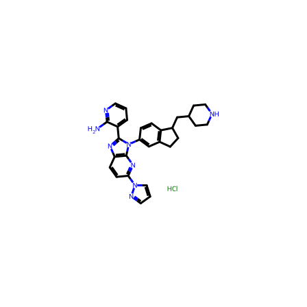 Cl.Nc1ncccc1-c1nc2ccc(-n3cccn3)nc2n1-c1ccc2c(c1)CCC2CC1CCNCC1